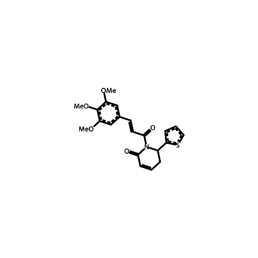 COc1cc(C=CC(=O)N2C(=O)C=CCC2c2cccs2)cc(OC)c1OC